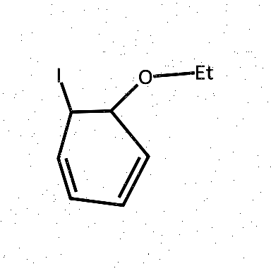 CCOC1C=CC=CC1I